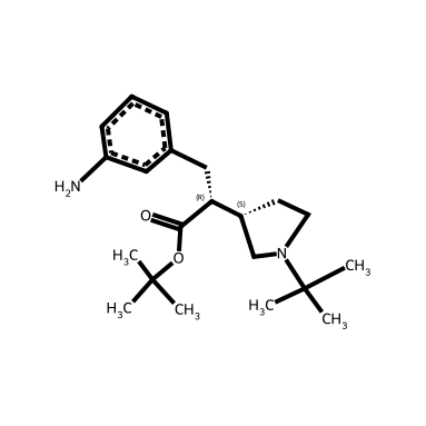 CC(C)(C)OC(=O)[C@H](Cc1cccc(N)c1)[C@@H]1CCN(C(C)(C)C)C1